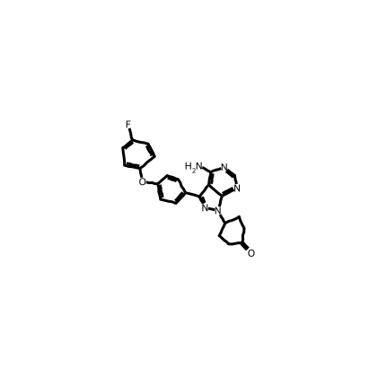 Nc1ncnc2c1c(-c1ccc(Oc3ccc(F)cc3)cc1)nn2C1CCC(=O)CC1